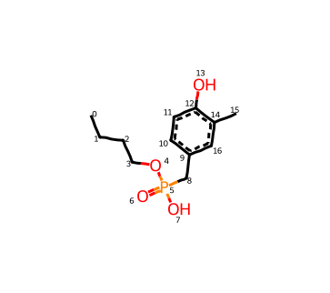 CCCCOP(=O)(O)Cc1ccc(O)c(C)c1